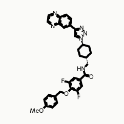 COc1ccc(COc2c(F)cc(C(=O)NC[C@H]3CC[C@H](n4cc(-c5ccc6nccnc6c5)nn4)CC3)cc2F)cc1